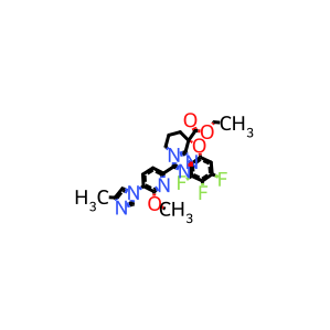 CCOC(=O)[C@@]1(Oc2cc(F)c(F)c(F)c2)CCCn2c(-c3ccc(-n4cnc(C)c4)c(OC)n3)nnc21